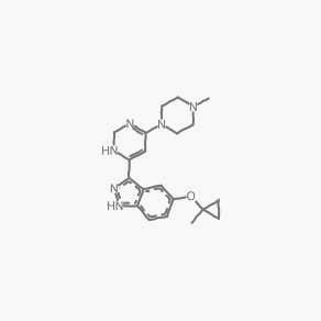 CN1CCN(C2=NCNC(c3n[nH]c4ccc(OC5(C)CC5)cc34)=C2)CC1